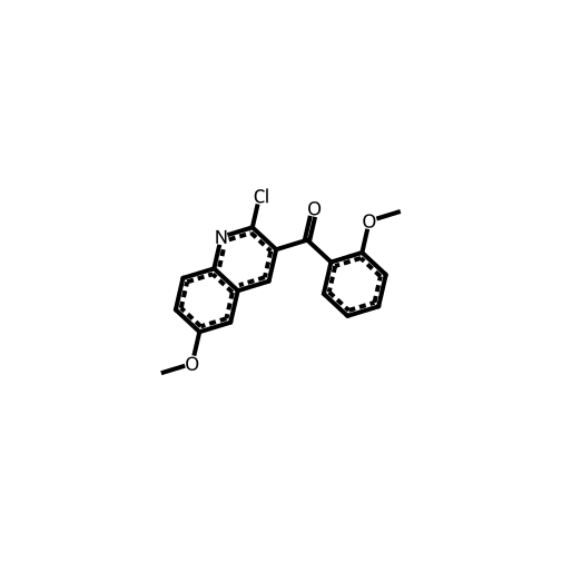 COc1ccc2nc(Cl)c(C(=O)c3ccccc3OC)cc2c1